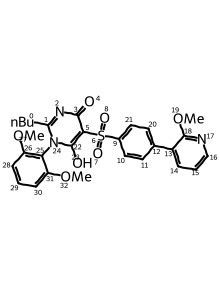 CCCCc1nc(=O)c(S(=O)(=O)c2ccc(-c3cccnc3OC)cc2)c(O)n1-c1c(OC)cccc1OC